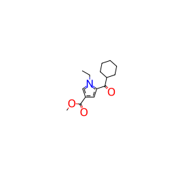 CCn1cc(C(=O)OC)cc1C(=O)C1CCCCC1